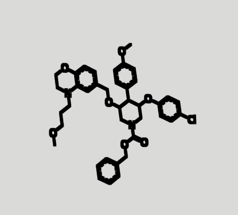 COCCCN1CCOc2ccc(COC3CN(C(=O)OCc4ccccc4)CC(Oc4ccc(Cl)cc4)C3c3ccc(OC)cc3)cc21